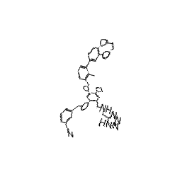 Cc1c(COc2cc(OCc3cccc(C#N)c3)c(CNCc3nnn[nH]3)cc2Cl)cccc1-c1ccc2c(c1)OCCO2